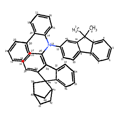 CC1(C)c2ccccc2-c2ccc(N(c3ccccc3-c3ccccc3)c3cccc4c3-c3ccccc3C43CC4CCC3C4)cc21